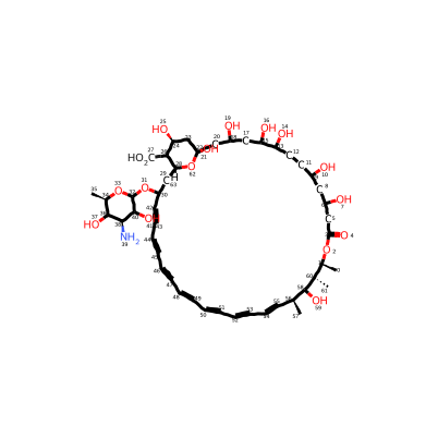 C[C@@H]1OC(=O)CC(O)CC(O)CCC(O)C(O)CC(O)CC2(O)C[C@H](O)C(C(=O)O)[C@H](CC(OC3O[C@H](C)C(O)[C@H](N)C3O)/C=C/C=C/C=C/C=C/C=C/C=C/C=C/[C@H](C)C(O)[C@H]1C)O2